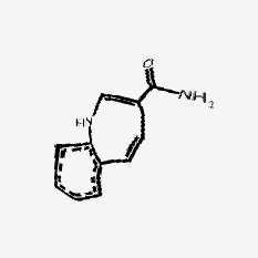 NC(=O)C1=CNc2ccccc2C=C1